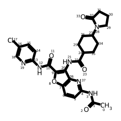 CC(=O)Nc1ccc2oc(C(=O)Nc3ccc(Cl)cn3)c(NC(=O)C3CCC(N4CCCC4=O)CC3)c2n1